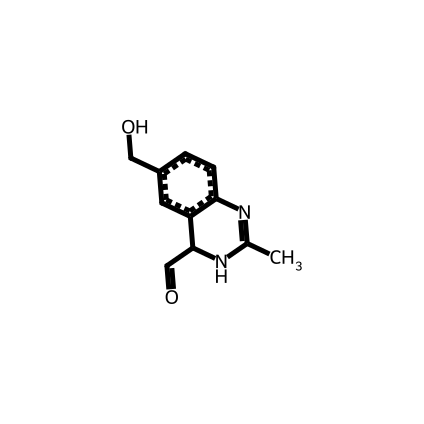 CC1=Nc2ccc(CO)cc2C(C=O)N1